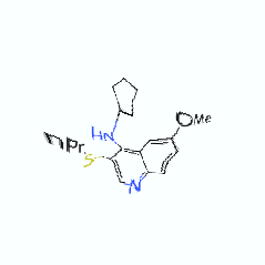 CCCSc1cnc2ccc(OC)cc2c1NC1CCCC1